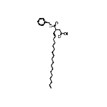 CCCCCCCCCCCCCCCCC=CC(CC(=O)O)C(=O)OCc1ccccc1